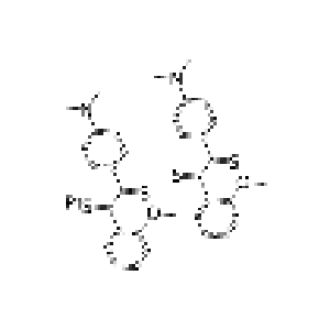 COc1ccccc1C(=S)C(=S)c1ccc(N(C)C)cc1.COc1ccccc1C(=S)C(=S)c1ccc(N(C)C)cc1.[Pt]